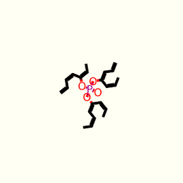 C=C/C=C\C(=C/C)OP(=O)(OC(/C=C\C)=C/C=C)OC(/C=C\C)=C/C=C\C